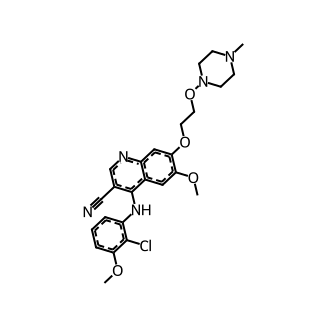 COc1cc2c(Nc3cccc(OC)c3Cl)c(C#N)cnc2cc1OCCON1CCN(C)CC1